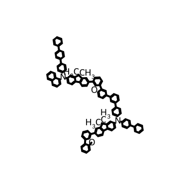 CC1(C)c2cc(-c3cccc4c3oc3ccccc34)ccc2-c2ccc(N(c3ccc(-c4ccccc4)cc3)c3ccc(-c4cccc(-c5ccc6oc7c(-c8ccc9c(c8)C(C)(C)c8cc(N(c%10ccc(-c%11ccc(-c%12ccccc%12)cc%11)cc%10)c%10cccc%11ccccc%10%11)ccc8-9)cccc7c6c5)c4)cc3)cc21